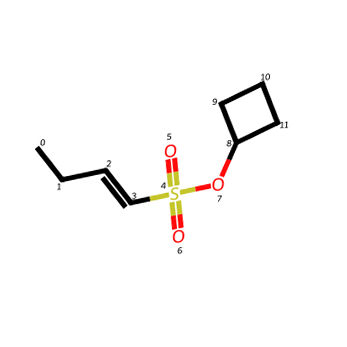 CCC=CS(=O)(=O)OC1CCC1